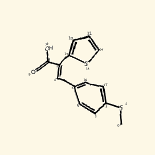 CSc1ccc(/C=C(/C(=O)O)c2cccs2)cc1